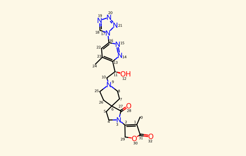 CC1=C(N2CCC3(CCN(C[C@H](O)c4nnc(-n5cnnn5)cc4C)CC3)C2=O)COC1=O